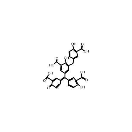 O=C(O)C1=C/C(=C(/c2ccc(O)c(C(=O)O)c2)c2cc(Cc3ccc(O)c(C(=O)O)c3)c(O)c(C(=O)O)c2)C=CC1=O